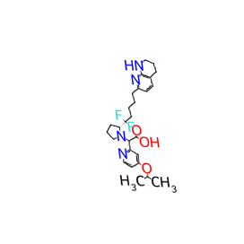 CC(C)Oc1ccnc(C(C(=O)O)N2CCC[C@@H]2C(F)(F)CCCCc2ccc3c(n2)NCCC3)c1